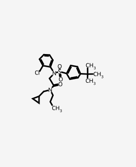 CCCN(CC1CC1)C(=O)CN(c1ccccc1Cl)S(=O)(=O)c1ccc(C(C)(C)C)cc1